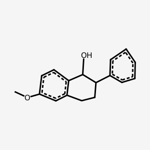 COc1ccc2c(c1)CCC(c1ccccc1)C2O